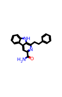 NC(=O)c1cc2c([nH]c3ccccc32)c(CCc2ccccc2)n1